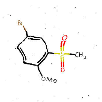 COc1c[c]c(Br)cc1S(C)(=O)=O